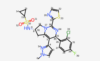 Cn1ccc(C2=C3C[C@H](NS(=O)(=O)C4CC4)CN3C(c3nccs3)=N[C@H]2c2ccc(F)cc2Cl)n1